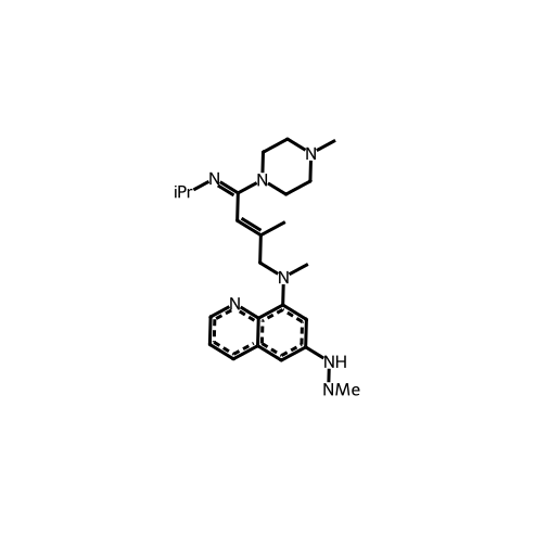 CNNc1cc(N(C)C/C(C)=C/C(=N\C(C)C)N2CCN(C)CC2)c2ncccc2c1